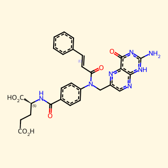 Nc1nc(=O)c2nc(CN(C(=O)/C=C/c3ccccc3)c3ccc(C(=O)N[C@@H](CCC(=O)O)C(=O)O)cc3)cnc2[nH]1